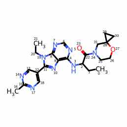 CCC(Nc1ncnc2c1nc(-c1cnc(C)nc1)n2CC)C(=O)N1CCOC2(CC2)C1